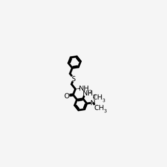 CN(C)c1cccc(C(=O)[C@@H](N)CSCc2ccccc2)c1N